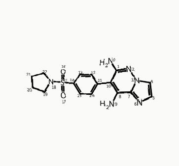 Nc1nn2ccnc2c(N)c1-c1ccc(S(=O)(=O)N2CCCC2)cc1